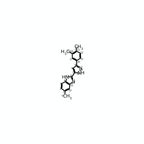 Cc1ccc2[nH]c(-c3cc(-c4ccc(C)c(C)c4)n[nH]3)nc2c1